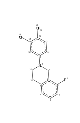 Fc1cccc2c1CN(c1ccc(C(F)(F)F)c(Cl)c1)CC2